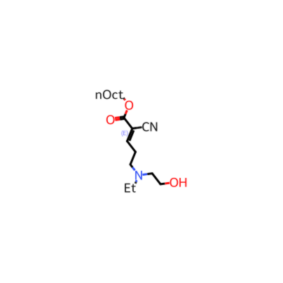 CCCCCCCCOC(=O)/C(C#N)=C/CCN(CC)CCO